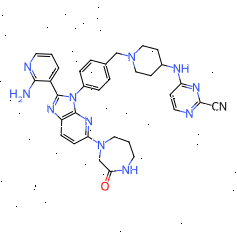 N#Cc1nccc(NC2CCN(Cc3ccc(-n4c(-c5cccnc5N)nc5ccc(N6CCCNC(=O)C6)nc54)cc3)CC2)n1